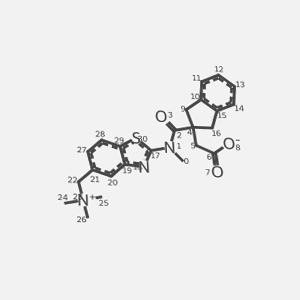 CN(C(=O)C1(CC(=O)[O-])Cc2ccccc2C1)c1nc2cc(C[N+](C)(C)C)ccc2s1